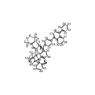 CC1(C)CCC(C)(C)c2cc(N(c3ccc(-c4ccc(-c5ccccc5)c5ccccc45)cc3)c3ccc4c(c3)C3(c5ccccc5S4)C4CC5CC6CC3C64C5)ccc21